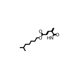 C=C(C=CC(=O)OCCCCCC(C)C)C([NH])=O